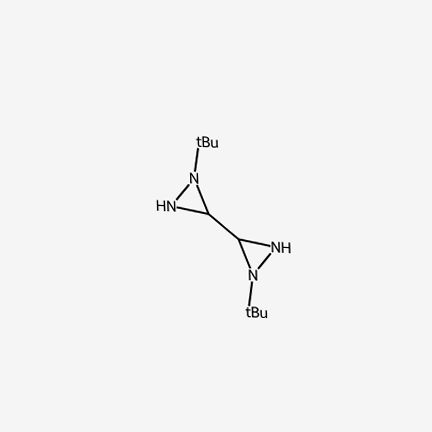 CC(C)(C)N1NC1C1NN1C(C)(C)C